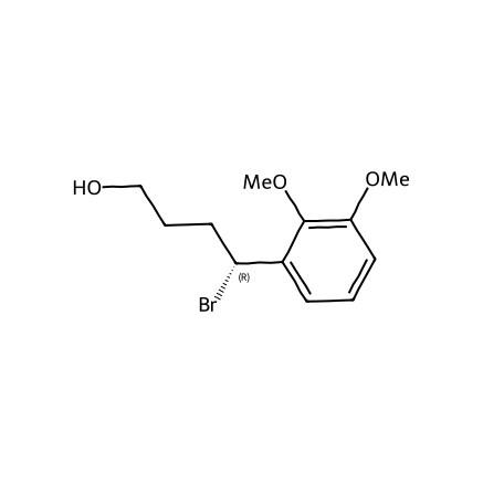 COc1cccc([C@H](Br)CCCO)c1OC